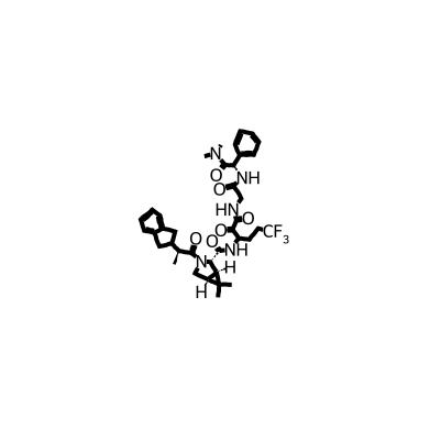 C[C@H](C(=O)N1C[C@H]2[C@@H]([C@H]1C(=O)NC(CCC(F)(F)F)C(=O)C(=O)NCC(=O)N[C@H](C(=O)N(C)C)c1ccccc1)C2(C)C)C1Cc2ccccc2C1